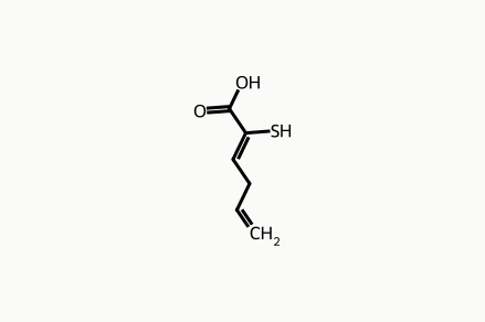 C=CCC=C(S)C(=O)O